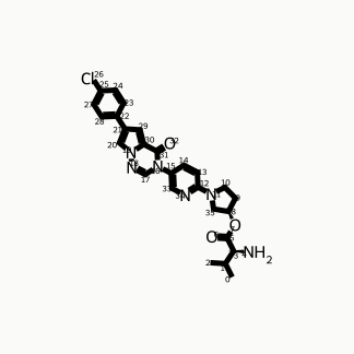 CC(C)[C@H](N)C(=O)O[C@@H]1CCN(c2ccc(-n3cnn4cc(-c5ccc(Cl)cc5)cc4c3=O)cn2)C1